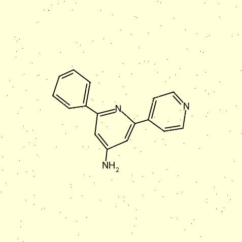 Nc1cc(-c2ccccc2)nc(-c2ccncc2)c1